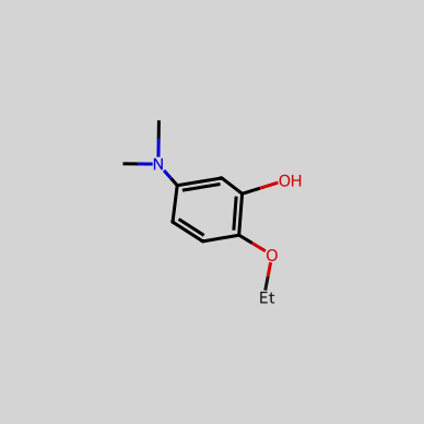 CCOc1ccc(N(C)C)cc1O